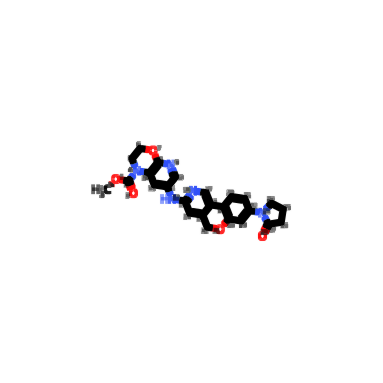 COC(=O)N1CCOc2ncc(Nc3cc4c(cn3)-c3ccc(N5CCCC5=O)cc3OC4)cc21